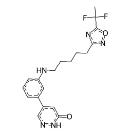 CC(F)(F)c1nc(CCCCCNc2cccc(-c3cn[nH]c(=O)c3)c2)no1